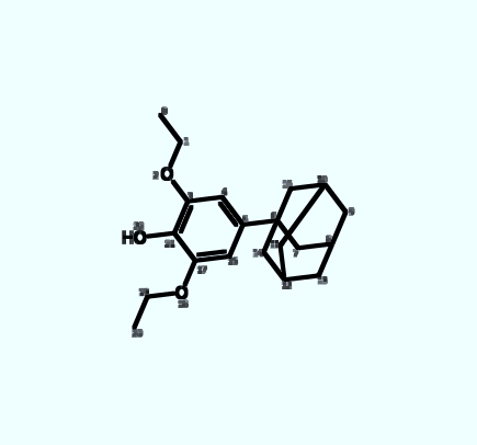 CCOc1cc(C23CC4CC(CC(C4)C2)C3)cc(OCC)c1O